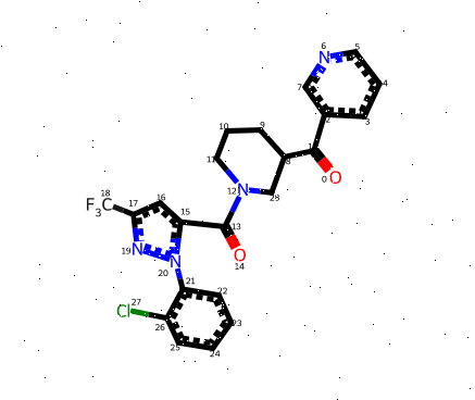 O=C(c1cccnc1)C1CCCN(C(=O)c2cc(C(F)(F)F)nn2-c2ccccc2Cl)C1